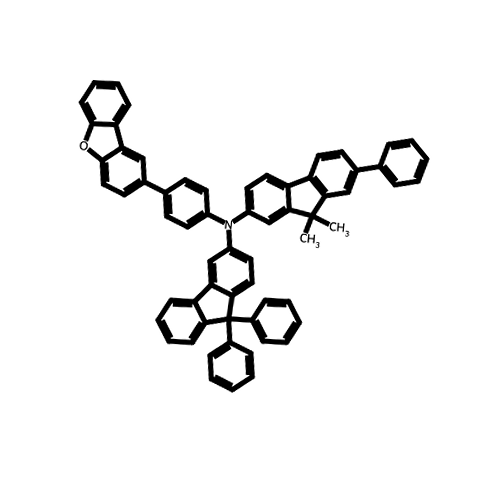 CC1(C)c2cc(-c3ccccc3)ccc2-c2ccc(N(c3ccc(-c4ccc5oc6ccccc6c5c4)cc3)c3ccc4c(c3)-c3ccccc3C4(c3ccccc3)c3ccccc3)cc21